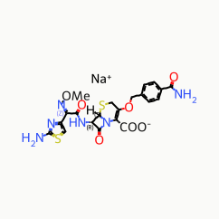 CO/N=C(\C(=O)N[C@@H]1C(=O)N2C(C(=O)[O-])=C(OCc3ccc(C(N)=O)cc3)CS[C@@H]12)c1csc(N)n1.[Na+]